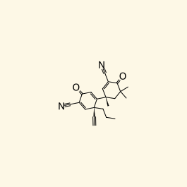 C#C[C@@]1(CCC)C=C(C#N)C(=O)C=C1[C@]1(C)C=C(C#N)C(=O)C(C)(C)C1